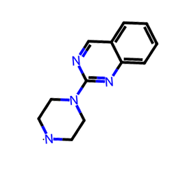 c1ccc2nc(N3CC[N]CC3)ncc2c1